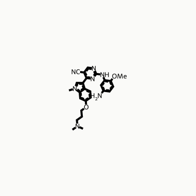 COc1ccc(N)cc1Nc1ncc(C#N)c(-c2cn(C)c3cc(OCCCN(C)C)ccc23)n1